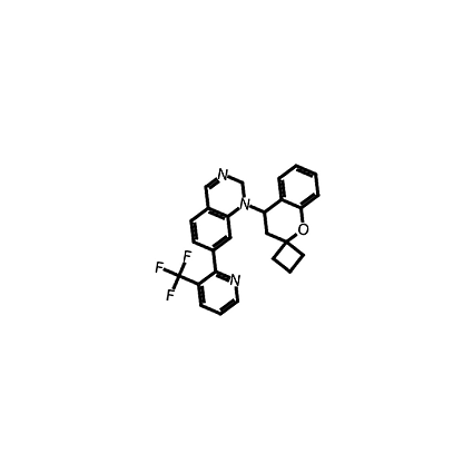 FC(F)(F)c1cccnc1-c1ccc2c(c1)N(C1CC3(CCC3)Oc3ccccc31)CN=C2